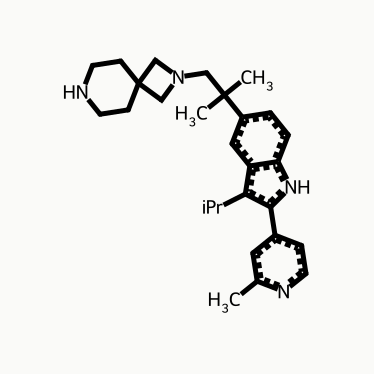 Cc1cc(-c2[nH]c3ccc(C(C)(C)CN4CC5(CCNCC5)C4)cc3c2C(C)C)ccn1